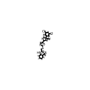 O=C(CSc1nnc(C2=NNC(c3cc(Cl)cc(Cl)c3)(C(F)(F)F)C2)o1)Nc1ccccc1C(F)(F)F